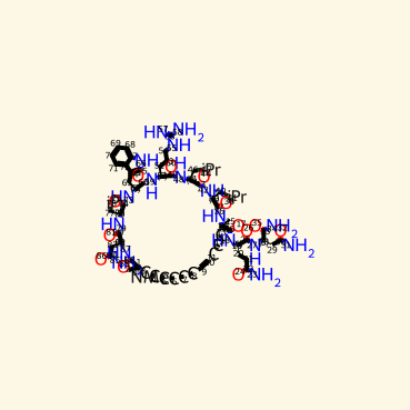 CN[C@]1(C)CCCCCCC=CCCC[C@@](C)(C(=O)N[C@@H](CCC(N)=O)C(=O)N[C@@H](CC(N)=O)C(N)=O)NC(=O)[C@H](CC(C)C)NC(=O)[C@H](CC(C)C)NC(=O)[C@H](CCCNC(=N)N)NC(=O)[C@H](Cc2c[nH]c3ccccc23)NC(=O)[C@H](CC(C)C)NC(=O)[C@H](CC(N)=O)NC1=O